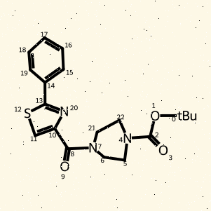 CC(C)(C)OC(=O)N1CCN(C(=O)c2csc(-c3ccccc3)n2)CC1